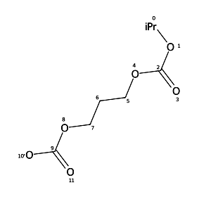 CC(C)OC(=O)OCCCOC([O])=O